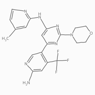 Cc1ccnc(Nc2cc(-c3cnc(N)cc3C(F)(F)F)nc(N3CCOCC3)n2)c1